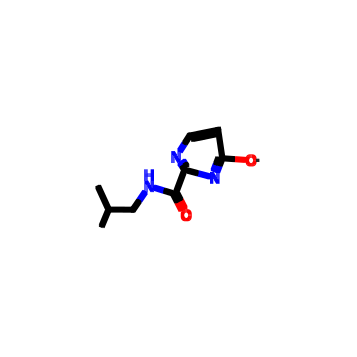 CC(C)CNC(=O)c1nccc([O])n1